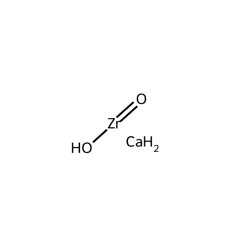 [CaH2].[O]=[Zr][OH]